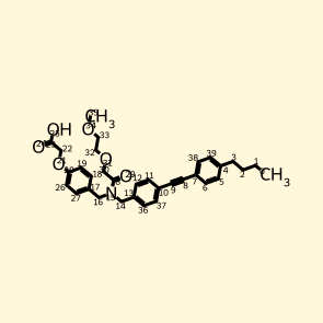 CCCCc1ccc(C#Cc2ccc(CN(Cc3ccc(OCC(=O)O)cc3)C(=O)COCCOC)cc2)cc1